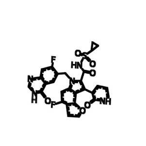 O=C(NS(=O)(=O)C1CC1)c1c(-c2ccc[nH]c2=O)c2c3occc3c(F)cc2n1Cc1cc2c(=O)[nH]cnc2cc1F